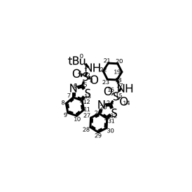 CC(C)(C)NS(=O)(=O)c1nc2ccccc2s1.O=S(=O)(NC1CCCCC1)c1nc2ccccc2s1